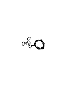 O=[N+]([O-])Oc1ccccc1